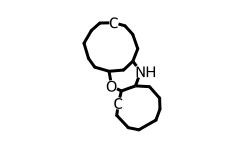 C1CCCCC2CC(CCCC1)OC1CCCCCCCCC1N2